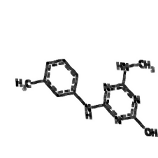 CNc1nc(O)nc(Nc2cccc(C)c2)n1